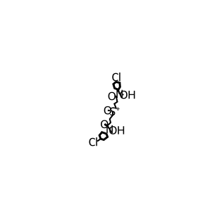 O=C(CCC[S+]([O-])CCCC(=O)N(O)c1ccc(Cl)cc1)N(O)c1ccc(Cl)cc1